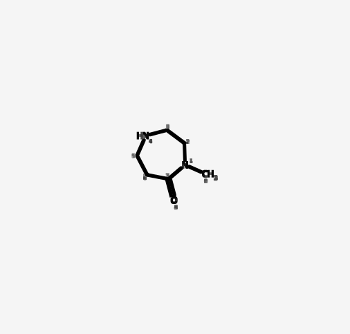 CN1CCNC[CH]C1=O